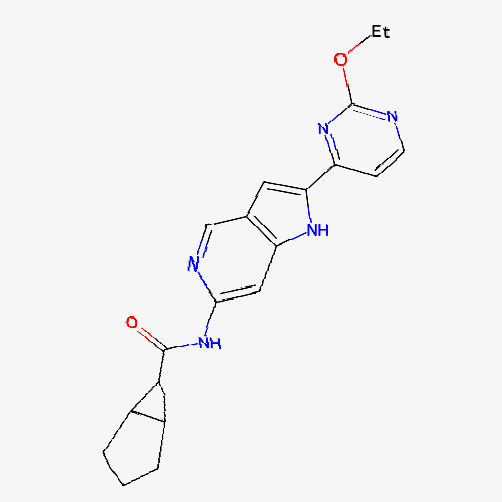 CCOc1nccc(-c2cc3cnc(NC(=O)C4C5CCCC54)cc3[nH]2)n1